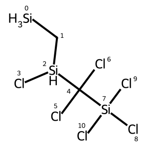 [SiH3]C[SiH](Cl)C(Cl)(Cl)[Si](Cl)(Cl)Cl